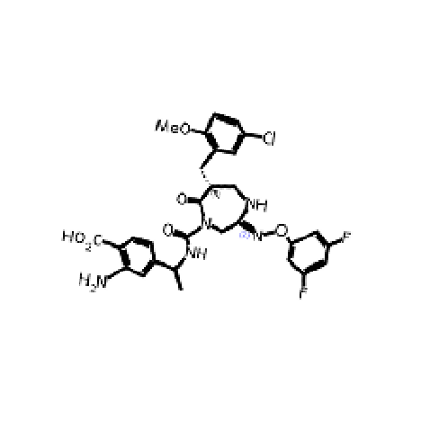 COc1ccc(Cl)cc1C[C@@H]1CN/C(=N\Oc2cc(F)cc(F)c2)CN(C(=O)NC(C)c2ccc(C(=O)O)c(N)c2)C1=O